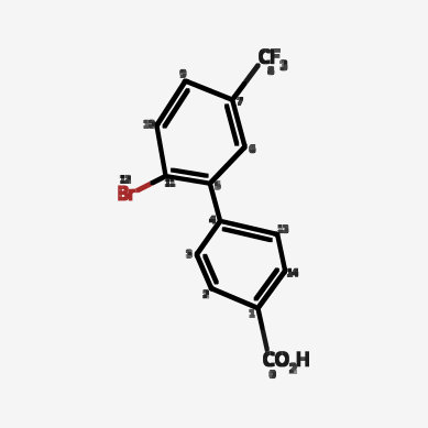 O=C(O)c1ccc(-c2cc(C(F)(F)F)ccc2Br)cc1